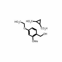 COc1cc(OCC(=O)O)ccc1CO.O=C(O)C1CC1C(=O)O